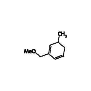 COCC1=CC(C)CC=C1